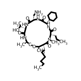 CCCCCC[C@H]1C(=O)N(C)[C@@H](CCC)C(=O)N[C@@H](C2CCCCC2)C(=O)N[C@@H](CN)C(=O)N[C@@H](C(C)O)C(=O)N[C@H](C)CO[C@@H]1C